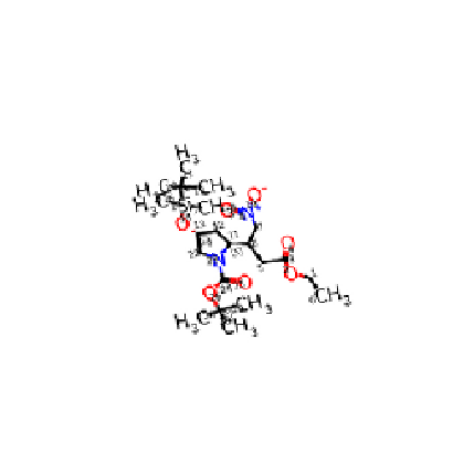 CCOC(=O)CC(C[N+](=O)[O-])[C@@H]1C[C@@H](O[Si](C)(C)C(C)(C)C)CN1C(=O)OC(C)(C)C